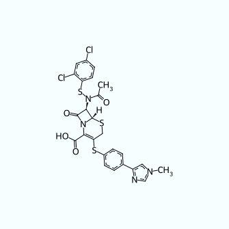 CC(=O)N(Sc1ccc(Cl)cc1Cl)[C@@H]1C(=O)N2C(C(=O)O)=C(Sc3ccc(-c4cn(C)cn4)cc3)CS[C@@H]12